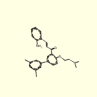 Cc1cc(C)cc(-c2ccc(OCCN(C)C)c(C(=O)/C=C/c3ccccc3N)c2)c1